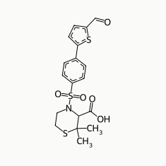 CC1(C)SCCN(S(=O)(=O)c2ccc(-c3ccc(C=O)s3)cc2)C1C(=O)O